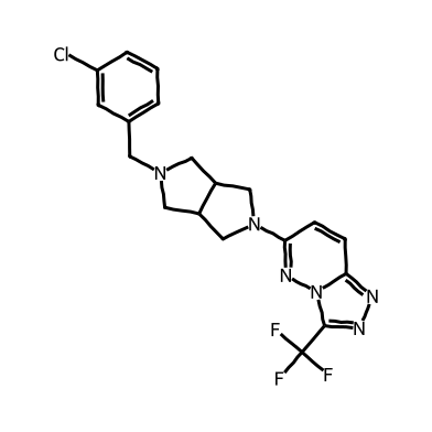 FC(F)(F)c1nnc2ccc(N3CC4CN(Cc5cccc(Cl)c5)CC4C3)nn12